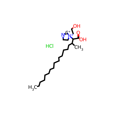 CCCCCCCCCCCCCCCC(C)C(C(=O)O)[N+]1(CCO)[C+]=NCC1.Cl